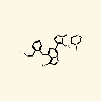 C/N=C\c1ccccc1Sc1cc(-c2cnn(C[C@H]3CN(C(C)=O)CCO3)c2C)cn2ncc(C#N)c12